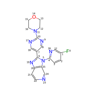 Fc1ccc(-n2c(-c3cnc(N4CCOCC4)nc3)nc3ccncc32)nc1